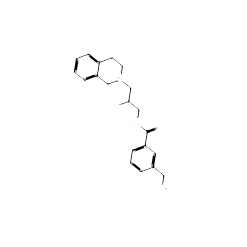 O=C(NCC(O)CN1CCc2ccccc2C1)c1cccc(CO)c1